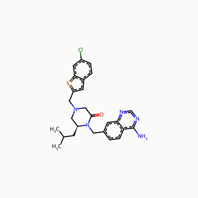 CC(C)C[C@H]1CN(Cc2cc3ccc(Cl)cc3s2)CC(=O)N1Cc1ccc2c(N)ncnc2c1